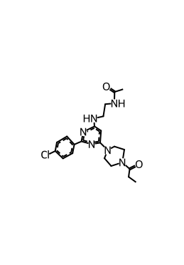 CCC(=O)N1CCN(c2cc(NCCNC(C)=O)nc(-c3ccc(Cl)cc3)n2)CC1